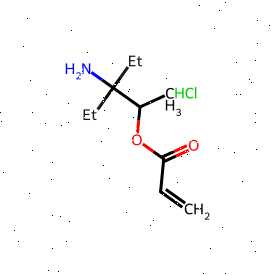 C=CC(=O)OC(C)C(N)(CC)CC.Cl